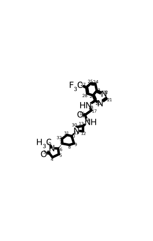 CN1C(=O)CCC1[C@H]1CC[C@H](N2CC(NC(=O)CNc3ncnc4ccc(C(F)(F)F)cc34)C2)CC1